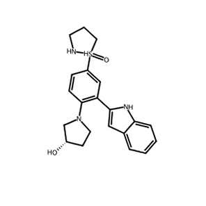 O=[SH]1(c2ccc(N3CC[C@H](O)C3)c(-c3cc4ccccc4[nH]3)c2)CCCN1